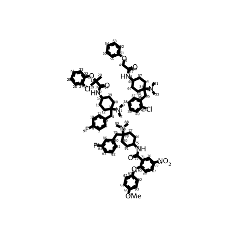 CN(C)C1(Cc2ccc(F)cc2)CCC(NC(=O)C(C)(C)Oc2ccccc2Cl)CC1.CN(C)C1(Cc2ccccc2Cl)CCC(NC(=O)COc2ccccc2)CC1.COc1ccc(Oc2ccc([N+](=O)[O-])cc2C(=O)NC2CCC(Cc3cccc(F)c3)(N(C)C)CC2)cc1